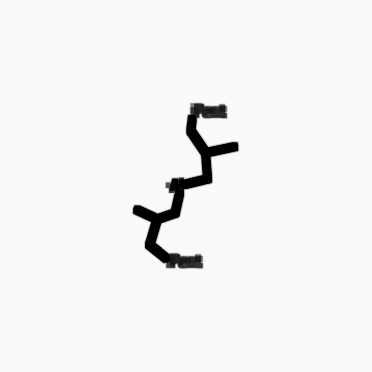 CCCC(C)CC(C)[CH2][Al][CH2]C(C)CC(C)CCC